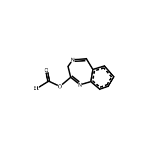 CCC(=O)OC1=Nc2ccccc2C=NC1